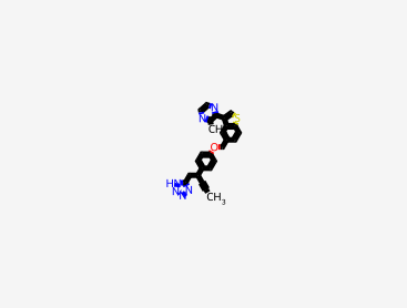 CC#CC(Cc1nnn[nH]1)c1ccc(OCc2ccc3scc(-c4nccnc4C)c3c2)cc1